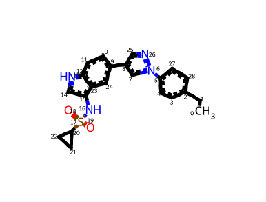 CCc1ccc(-n2cc(-c3ccc4[nH]cc(NS(=O)(=O)C5CC5)c4c3)cn2)cc1